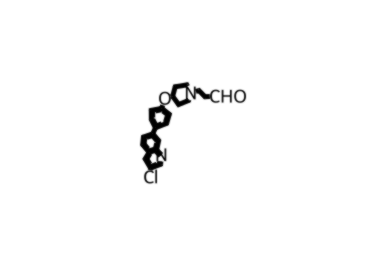 O=CCCN1CCC(Oc2ccc(-c3ccc4cc(Cl)cnc4c3)cc2)CC1